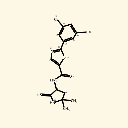 CC1(C)CC(NC(=O)c2cnc(-c3cc(F)cc(Cl)c3)s2)C(=S)N1